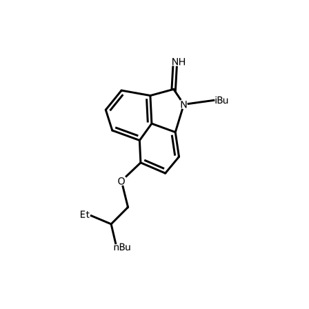 CCCCC(CC)COc1ccc2c3c(cccc13)C(=N)N2C(C)CC